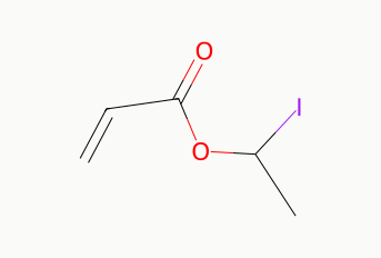 C=CC(=O)OC(C)I